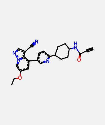 C#CC(=O)NC1CCC(c2ccc(-c3cc(OCC)cn4ncc(C#N)c34)cn2)CC1